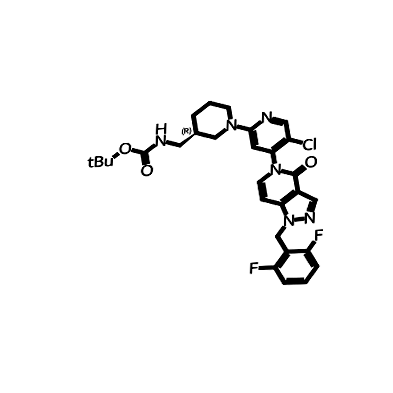 CC(C)(C)OC(=O)NC[C@H]1CCCN(c2cc(-n3ccc4c(cnn4Cc4c(F)cccc4F)c3=O)c(Cl)cn2)C1